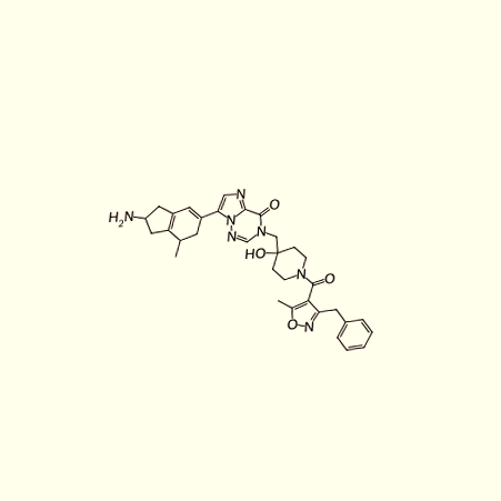 Cc1onc(Cc2ccccc2)c1C(=O)N1CCC(O)(Cn2cnn3c(C4=CC5=C(CC(N)C5)C(C)C4)cnc3c2=O)CC1